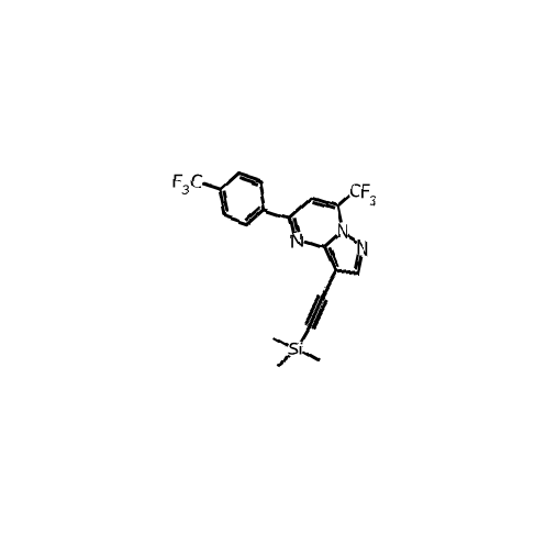 C[Si](C)(C)C#Cc1cnn2c(C(F)(F)F)cc(-c3ccc(C(F)(F)F)cc3)nc12